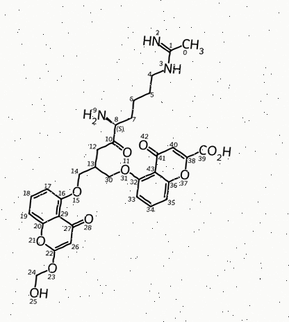 CC(=N)NCCCC[C@H](N)C(=O)CC(COc1cccc2oc(OCO)cc(=O)c12)COc1cccc2oc(C(=O)O)cc(=O)c12